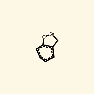 c1ccc2c(c1)C[Se]O2